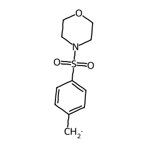 [CH2]c1ccc(S(=O)(=O)N2CCOCC2)cc1